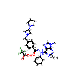 Cn1cnc2c(N(NC(=O)c3ccc(CN4CC(N5CCCC5)C4)cc3)C3CCCCC3)nc(C#N)nc21.O=C(O)C(F)(F)F